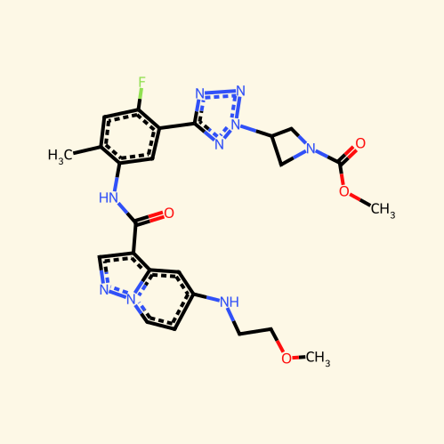 COCCNc1ccn2ncc(C(=O)Nc3cc(-c4nnn(C5CN(C(=O)OC)C5)n4)c(F)cc3C)c2c1